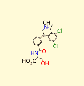 CN1Cc2c(Cl)cc(Cl)cc2[C@H](c2cccc(C(=O)NC(CO)C(=O)O)c2)C1